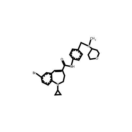 CN(Cc1ccc(NC(=O)C2=Cc3cc(Br)ccc3N(C3CC3)CC2)cc1)C1CCOCC1